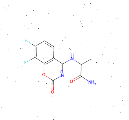 CC(Nc1nc(=O)oc2c(F)c(F)ccc12)C(N)=O